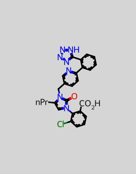 CCCc1cn(-c2c(Cl)cccc2C(=O)O)c(=O)n1Cc1ccc(-c2ccccc2-c2nnn[nH]2)nc1